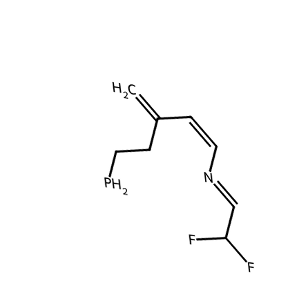 C=C(/C=C\N=C\C(F)F)CCP